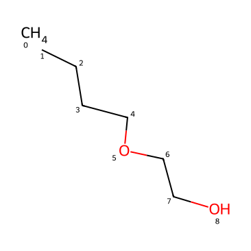 C.CCCCOCCO